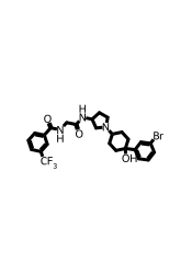 O=C(CNC(=O)c1cccc(C(F)(F)F)c1)NC1CCN(C2CCC(O)(c3cccc(Br)c3)CC2)C1